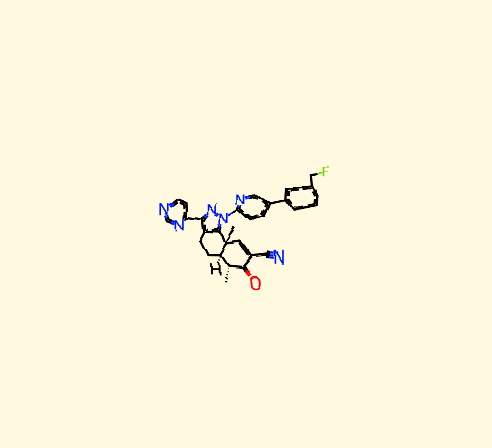 C[C@H]1C(=O)C(C#N)=C[C@@]2(C)c3c(c(-c4ccncn4)nn3-c3ccc(-c4cccc(CF)c4)cn3)CC[C@H]12